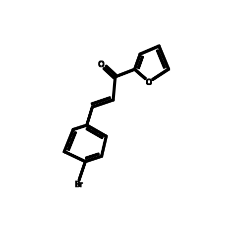 O=C(/C=C/c1ccc(Br)cc1)c1ccco1